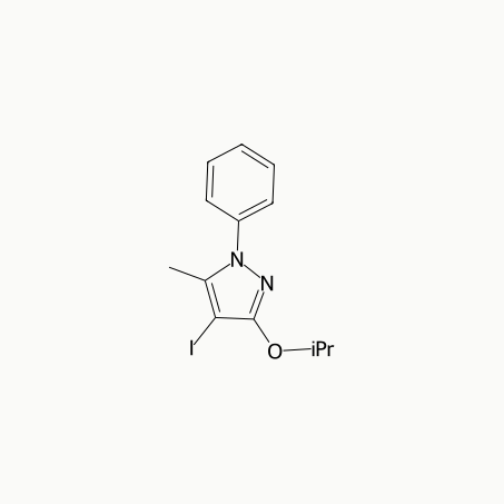 Cc1c(I)c(OC(C)C)nn1-c1ccccc1